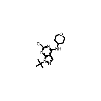 CC(C)(C)n1ncc2c(NC3CCOCC3)nc(Cl)nc21